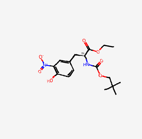 CCOC(=O)[C@H](Cc1ccc(O)c([N+](=O)[O-])c1)NC(=O)OCC(C)(C)C